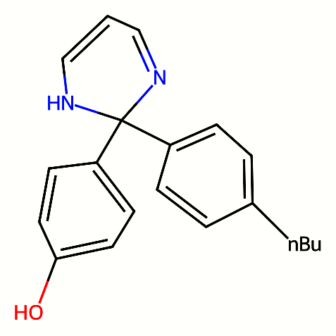 CCCCc1ccc(C2(c3ccc(O)cc3)N=CC=CN2)cc1